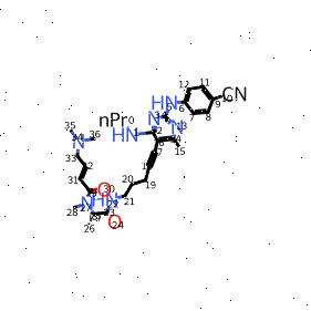 CCCNc1nc(Nc2ccc(C#N)cc2)nc(C)c1C#CCCCNC(=O)[C@H](C)N(C)C(=O)C=CCN(C)C